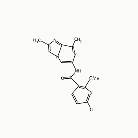 COc1nc(Cl)ccc1C(=O)Nc1cn2cc(C)nc2c(C)n1